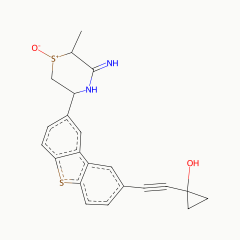 CC1C(=N)NC(c2ccc3sc4ccc(C#CC5(O)CC5)cc4c3c2)C[S+]1[O-]